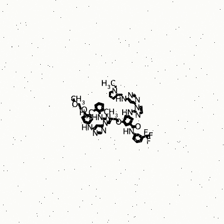 CCN1CCCC1CNc1cc(-n2ccnc2Nc2cc(OCc3cn(-c4cc(Nc5ccc(OCCOC)cc5)ncn4)c(Nc4c(C)cccc4C)n3)cc(C(=O)Nc3cccc(C(F)(F)F)c3)c2)ncn1